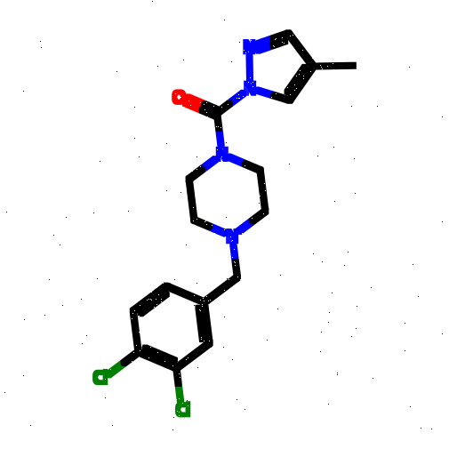 Cc1cnn(C(=O)N2CCN(Cc3ccc(Cl)c(Cl)c3)CC2)c1